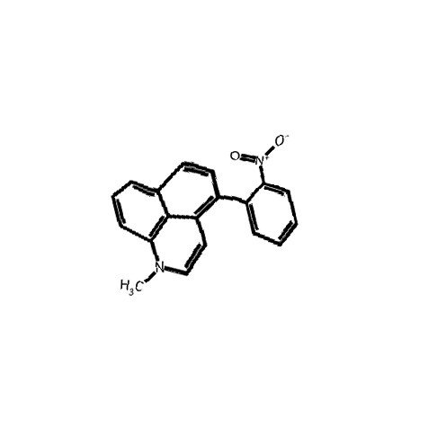 CN1C=Cc2c(-c3ccccc3[N+](=O)[O-])ccc3cccc1c23